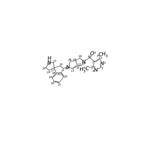 Cc1ncnc(C)c1C(=O)N1CC2=CN(CCC3(c4ccccc4)CCNC3)CC2C1